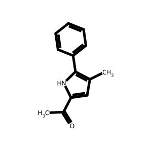 CC(=O)c1cc(C)c(-c2ccccc2)[nH]1